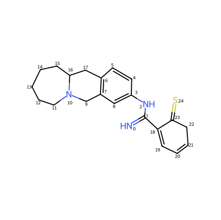 N=C(Nc1ccc2c(c1)CN1CCCCCC1C2)C1=CC=CCC1=S